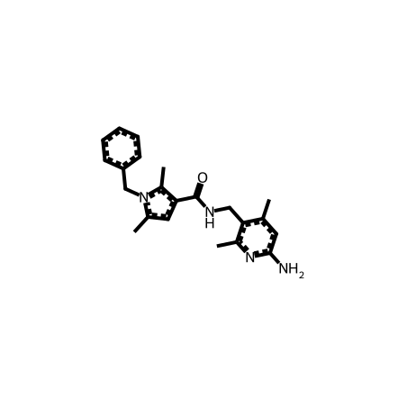 Cc1cc(N)nc(C)c1CNC(=O)c1cc(C)n(Cc2ccccc2)c1C